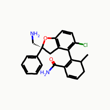 CC1CC=CC(C(N)=O)=C1c1c(Cl)ccc2c1C[C@@](CN)(c1ccccc1)O2